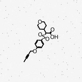 CC#CCOc1ccc(S(=O)(=O)C(C(=O)O)C2CCOCC2)cc1